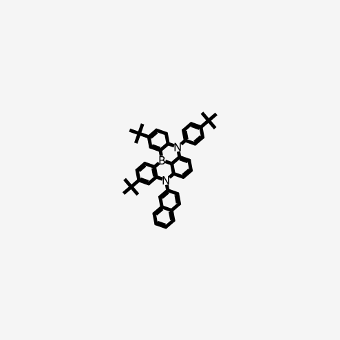 CC(C)(C)C1=CCC2C(=C1)B1c3ccc(C(C)(C)C)cc3N(c3ccc4ccccc4c3)C3C=CC=C(C13)N2c1ccc(C(C)(C)C)cc1